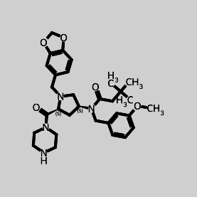 COc1cccc(CN(C(=O)CC(C)(C)C)[C@H]2C[C@@H](C(=O)N3CCNCC3)N(Cc3ccc4c(c3)OCO4)C2)c1